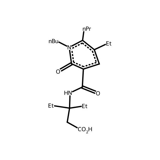 CCCCn1c(CCC)c(CC)cc(C(=O)NC(CC)(CC)CC(=O)O)c1=O